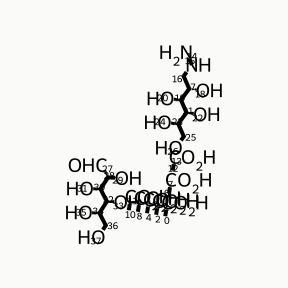 CC(=O)O.CC(=O)O.CC(=O)O.CC(=O)O.CC(=O)O.CC(=O)O.CC(=O)O.NNC[C@H](O)[C@H](O)[C@@H](O)[C@H](O)CO.O=C[C@H](O)[C@H](O)[C@@H](O)[C@H](O)CO